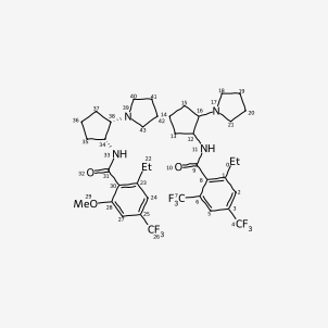 CCc1cc(C(F)(F)F)cc(C(F)(F)F)c1C(=O)NC1CCCC1N1CCCC1.CCc1cc(C(F)(F)F)cc(OC)c1C(=O)N[C@@H]1CCC[C@@H]1N1CCCC1